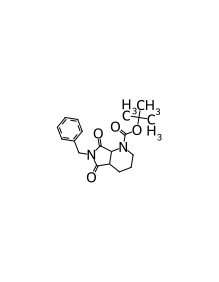 CC(C)(C)OC(=O)N1CCCC2C(=O)N(Cc3ccccc3)C(=O)C21